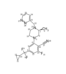 C[C@H]1CN(c2cc(C(F)(F)C3CC3)cc(F)c2C#N)CCN1Cc1cccnn1